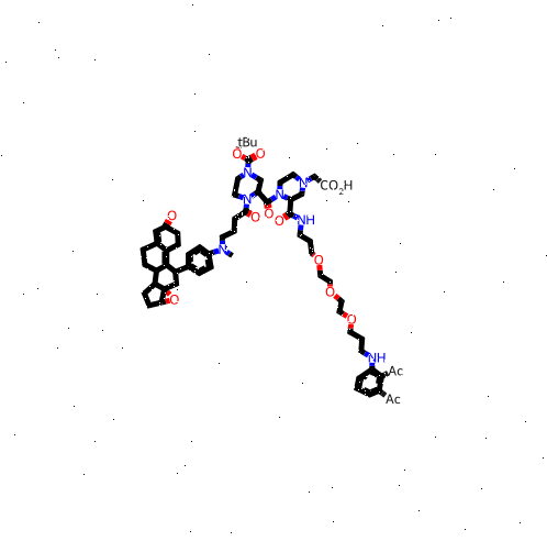 CC(=O)c1cccc(NCCCOCCOCCOCCCNC(=O)C2CN(CC(=O)O)CCN2C(=O)C2CN(C(=O)OC(C)(C)C)CCN2C(=O)CCCN(C)c2ccc(C3CC45OC4CCC5C4CCC5=CC(=O)CCC5=C34)cc2)c1C(C)=O